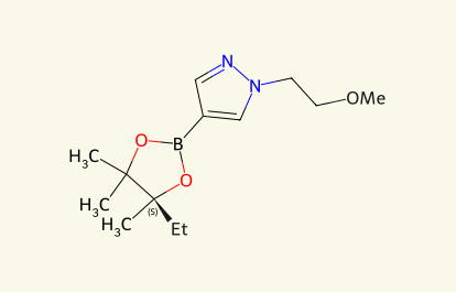 CC[C@]1(C)OB(c2cnn(CCOC)c2)OC1(C)C